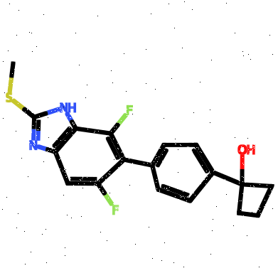 CSc1nc2cc(F)c(-c3ccc(C4(O)CCC4)cc3)c(F)c2[nH]1